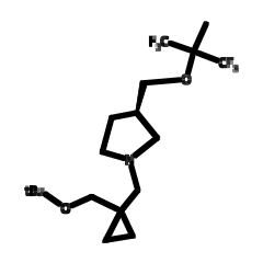 CC(C)(C)OCC1(CN2CC[C@@H](COC(C)(C(F)(F)F)C(F)(F)F)C2)CC1